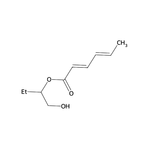 CC=CC=CC(=O)OC(CC)CO